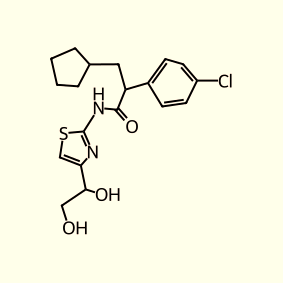 O=C(Nc1nc(C(O)CO)cs1)C(CC1CCCC1)c1ccc(Cl)cc1